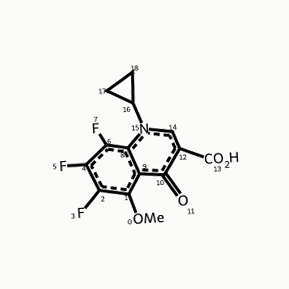 COc1c(F)c(F)c(F)c2c1c(=O)c(C(=O)O)cn2C1CC1